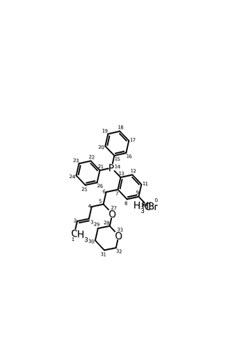 Br.CC=CCC(Cc1cc(C)ccc1P(c1ccccc1)c1ccccc1)OC1CCCCO1